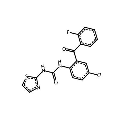 O=C(Nc1nccs1)Nc1ccc(Cl)cc1C(=O)c1ccccc1F